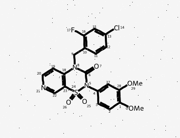 COc1ccc(N2C(=O)N(Cc3ccc(Cl)cc3F)c3ccncc3S2(=O)=O)cc1OC